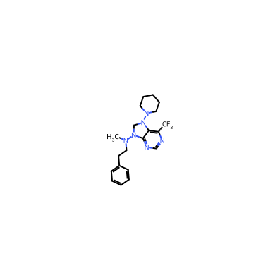 CN(CCc1ccccc1)N1CN(N2CCCCC2)c2c1ncnc2C(F)(F)F